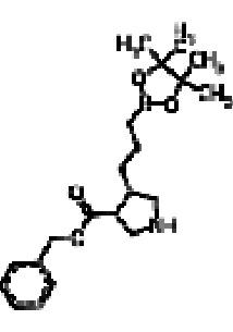 CC1(C)OB(CCC[C@H]2CNC[C@H]2C(=O)OCc2ccccc2)OC1(C)C